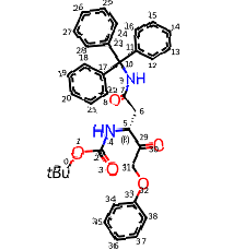 CC(C)(C)OC(=O)N[C@H](CC(=O)NC(c1ccccc1)(c1ccccc1)c1ccccc1)C(=O)COc1ccccc1